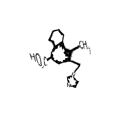 Cc1c(Cn2ccnc2)cc(C(=O)O)c2c1C=CCC2